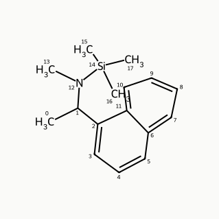 CC(c1cccc2ccccc12)N(C)[Si](C)(C)C